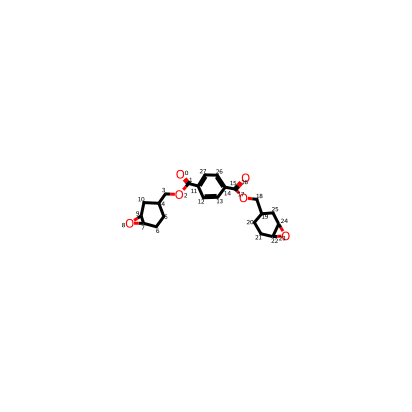 O=C(OCC1CCC2OC2C1)c1ccc(C(=O)OCC2CCC3OC3C2)cc1